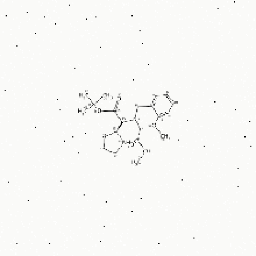 COC(=O)CN(Cc1ccccc1OC)C(C(=O)OC(C)(C)C)[C@@H]1CCCN1